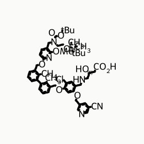 COc1nc(OCc2cccc(-c3cccc(COc4cc(OCc5cncc(C#N)c5)c(CNC[C@@H](O)CC(=O)O)cc4Cl)c3C)c2C)ccc1CN(CCO[Si](C)(C)C(C)(C)C)C(=O)OC(C)(C)C